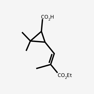 CCOC(=O)C(C)=CC1C(C(=O)O)C1(C)C